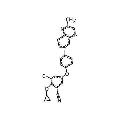 [CH2]c1cnc2cc(-c3ccc(Oc4cc(Cl)c(OC5CC5)c(C#N)c4)cc3)ccc2n1